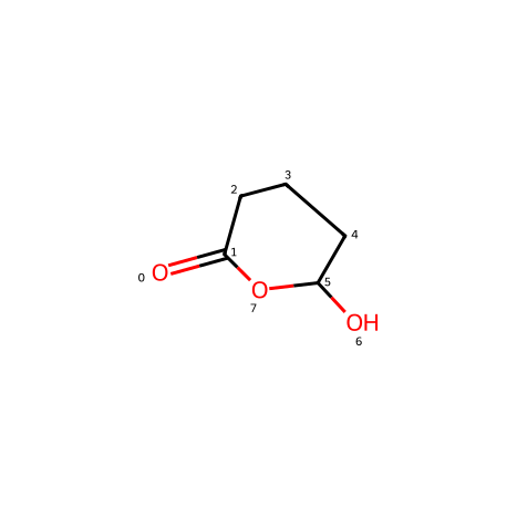 O=C1CCCC(O)O1